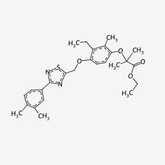 CCOC(=O)C(C)(C)Oc1ccc(OCc2nc(-c3ccc(C)c(C)c3)ns2)c(CC)c1C